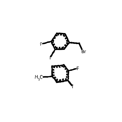 Cc1ccc(F)c(I)c1.Fc1ccc(CBr)cc1I